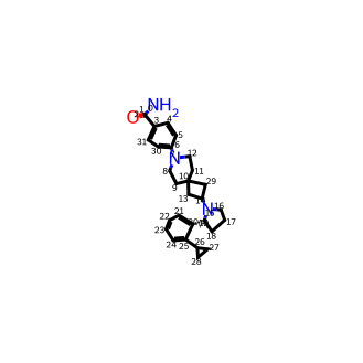 NC(=O)c1ccc(N2CCC3(CC2)CC(N2CCC[C@@H]2c2ccccc2C2CC2)C3)cc1